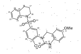 COc1ccc2c(c1)CN(c1cc(S(=O)(=O)N3CCCc4ccccc43)ccc1Cl)C(=O)N2